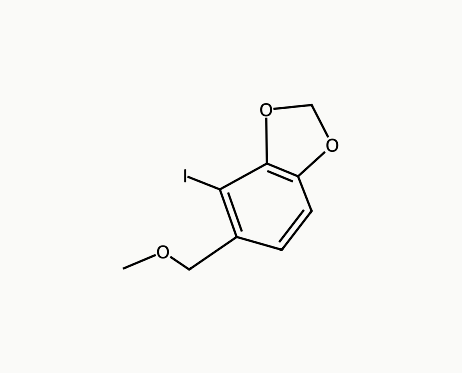 COCc1ccc2c(c1I)OCO2